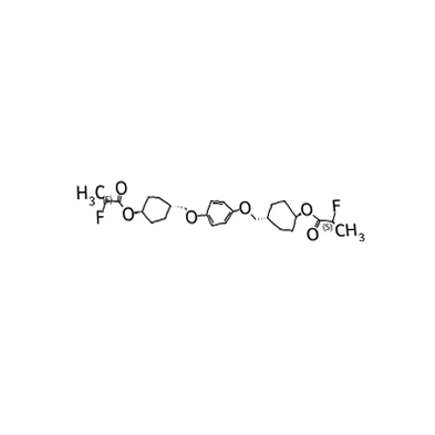 C[C@H](F)C(=O)O[C@H]1CC[C@H](COc2ccc(OC[C@H]3CC[C@H](OC(=O)[C@H](C)F)CC3)cc2)CC1